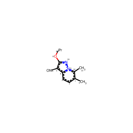 Cc1ccc2c(N=O)c(OC(C)C)nn2c1C